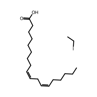 CCCCC/C=C\C/C=C\CCCCCCCC(=O)O.CCI